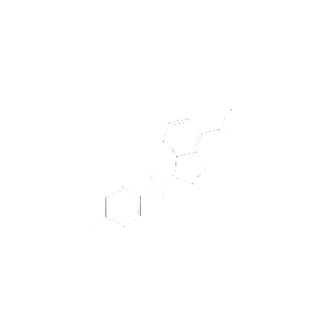 Cc1ccc(S(=O)(=O)n2ccc3c(B(O)O)cccc32)cc1